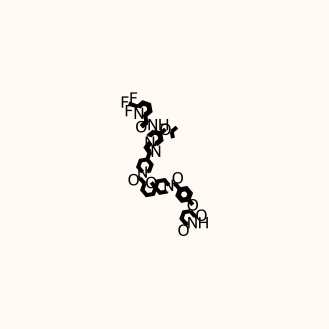 CC(C)Oc1cc2nc(C3CCN(C(=O)C4CCCC5(CCN(C(=O)c6ccc(OC7CCC(=O)NC7=O)cc6)CC5)O4)CC3)cn2cc1NC(=O)c1cccc(C(F)(F)F)n1